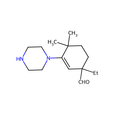 CCC1(C=O)C=C(N2CCNCC2)C(C)(C)CC1